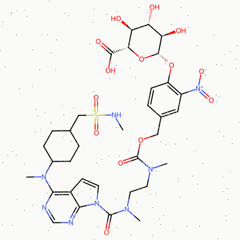 CNS(=O)(=O)CC1CCC(N(C)c2ncnc3c2ccn3C(=O)N(C)CCN(C)C(=O)OCc2ccc(O[C@@H]3O[C@H](C(=O)O)[C@@H](O)[C@H](O)[C@H]3O)c([N+](=O)[O-])c2)CC1